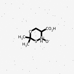 CC1(C)OCC(C(=O)O)[NH+]([O-])S1